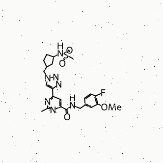 COc1cc(CNC(=O)c2cc(-c3cn(CC4CCC(NS(C)(=O)=O)C4)nn3)nc(C)n2)ccc1F